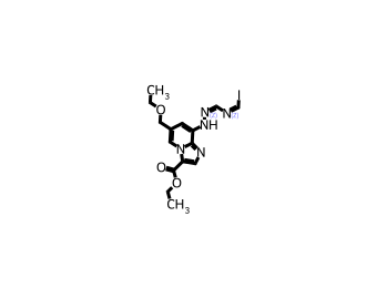 CCOCc1cc(N/N=C\N=C/I)c2ncc(C(=O)OCC)n2c1